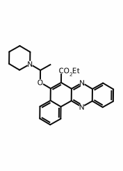 CCOC(=O)c1c(OC(C)N2CCCCC2)c2ccccc2c2nc3ccccc3nc12